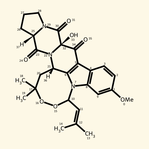 COc1ccc2c3c4n(c2c1)C(C=C(C)C)OOC(C)(C)C[C@@H]4N1C(=O)[C@@H]2CCCN2C(=O)[C@]1(O)C3=O